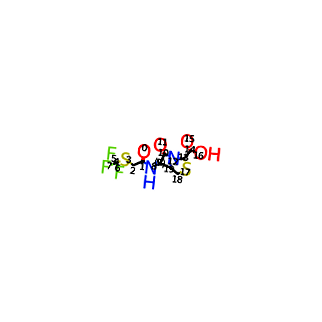 O=C(CSC(F)(F)F)N[C@H]1C(=O)N2C(C(=O)O)SCC12